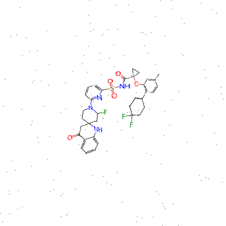 Cc1ccc(C2CCC(F)(F)CC2)c(OC2(C(=O)NS(=O)(=O)c3cccc(N4CCC5(CC(=O)c6ccccc6N5)CC4F)n3)CC2)c1